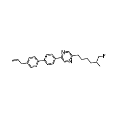 C=CCc1ccc(-c2ccc(-c3cnc(CCCCC(C)CF)cn3)cc2)cc1